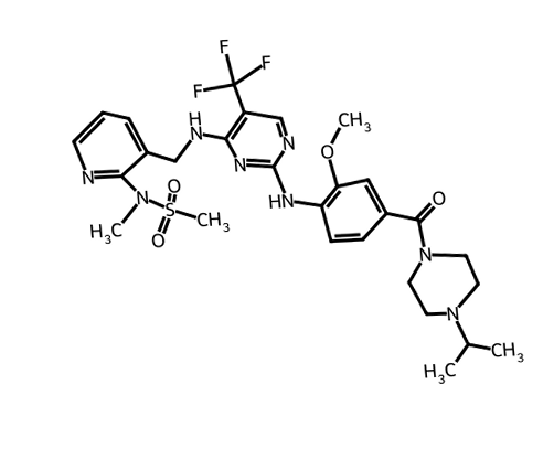 COc1cc(C(=O)N2CCN(C(C)C)CC2)ccc1Nc1ncc(C(F)(F)F)c(NCc2cccnc2N(C)S(C)(=O)=O)n1